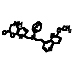 COc1ccc2nccc(CCN(Cc3ccc4c(n3)OC(=O)CN4)C34CCC(CC3)OC4)c2n1